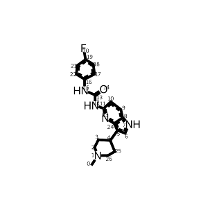 CN1CCC(c2c[nH]c3ccc(NC(=O)Nc4ccc(F)cc4)nc23)CC1